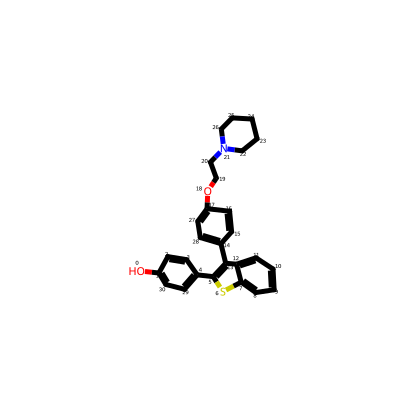 Oc1ccc(-c2sc3ccccc3c2-c2ccc(OCCN3CCCCC3)cc2)cc1